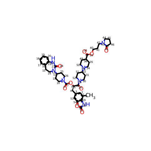 Cc1cc(C[C@@H](OC(=O)N2CCC(N3CCc4ccccc4NC3=O)CC2)C(=O)N2CCC(N3CCC(C(=O)OCCCN4CCCC4=O)CC3)CC2)cc2oc(=O)[nH]c12